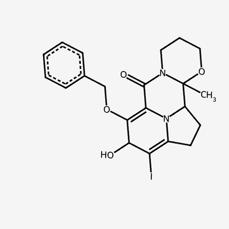 CC12OCCCN1C(=O)C1=C(OCc3ccccc3)C(O)C(I)=C3CCC2N31